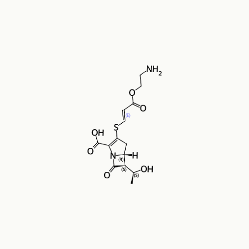 C[C@H](O)[C@H]1C(=O)N2C(C(=O)O)=C(S/C=C/C(=O)OCCN)C[C@H]12